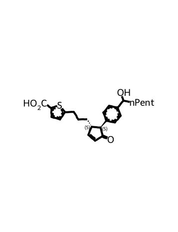 CCCCCC(O)c1ccc([C@H]2C(=O)C=C[C@@H]2CCCc2ccc(C(=O)O)s2)cc1